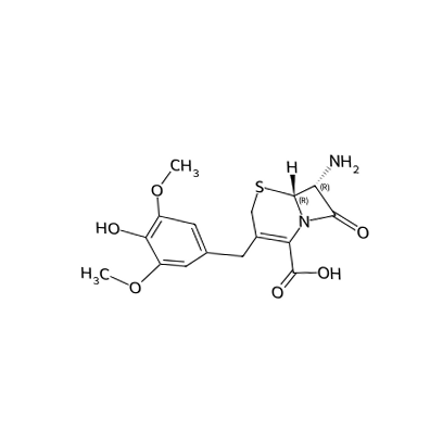 COc1cc(CC2=C(C(=O)O)N3C(=O)[C@@H](N)[C@H]3SC2)cc(OC)c1O